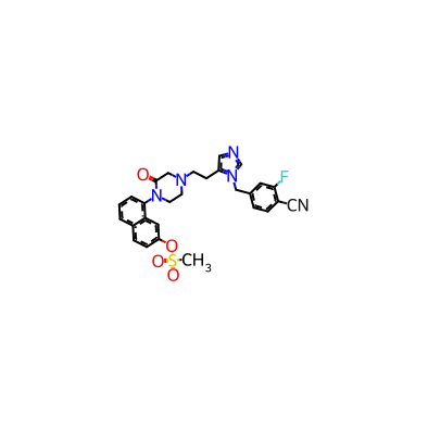 CS(=O)(=O)Oc1ccc2cccc(N3CCN(CCc4cncn4Cc4ccc(C#N)c(F)c4)CC3=O)c2c1